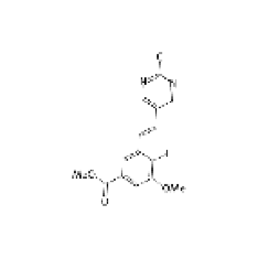 COC(=O)c1cc(C=Cc2cnc(Cl)nc2)c(F)c(OC)c1